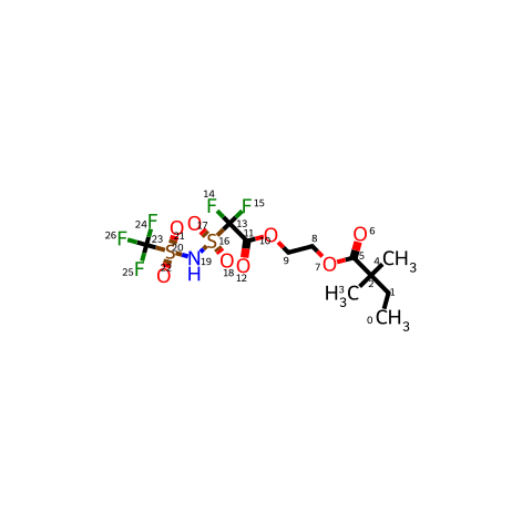 CCC(C)(C)C(=O)OCCOC(=O)C(F)(F)S(=O)(=O)NS(=O)(=O)C(F)(F)F